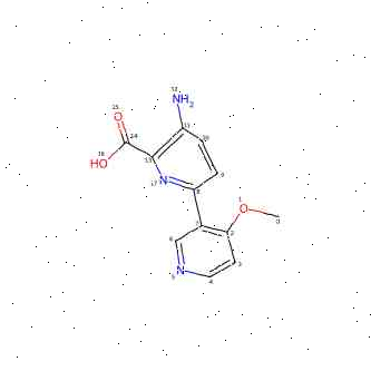 COc1ccncc1-c1ccc(N)c(C(=O)O)n1